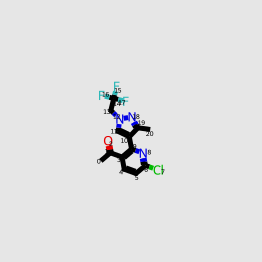 CC(=O)c1ccc(Cl)nc1-c1cn(CC(F)(F)F)nc1C